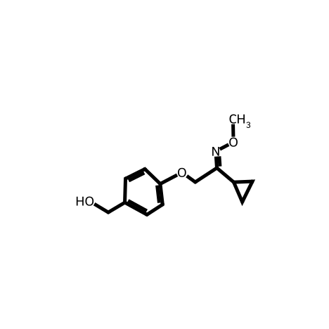 CON=C(COc1ccc(CO)cc1)C1CC1